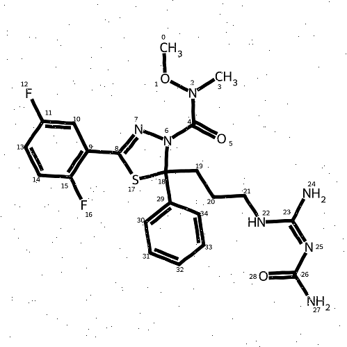 CON(C)C(=O)N1N=C(c2cc(F)ccc2F)SC1(CCCN/C(N)=N\C(N)=O)c1ccccc1